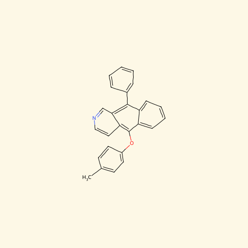 Cc1ccc(Oc2c3ccccc3c(-c3ccccc3)c3cnccc23)cc1